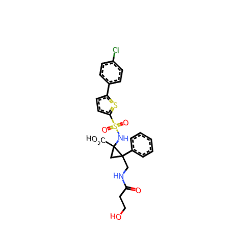 O=C(CCO)NCC1(c2ccccc2)CC1(NS(=O)(=O)c1ccc(-c2ccc(Cl)cc2)s1)C(=O)O